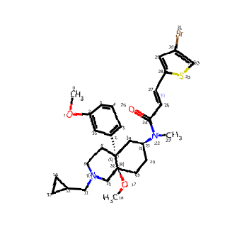 COc1cccc([C@@]23CCN(CC4CC4)C[C@@]2(OC)CC[C@H](N(C)C(=O)/C=C/c2cc(Br)cs2)C3)c1